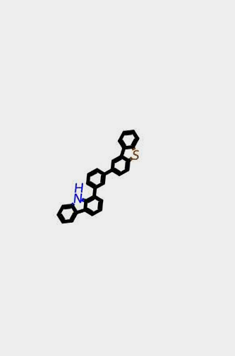 c1cc(-c2ccc3sc4ccccc4c3c2)cc(-c2cccc3c2[nH]c2ccccc23)c1